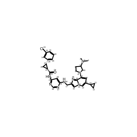 CN(C)C1CCN(c2cc(C3CC3)cn3cc(CNc4cc(NC(=O)[C@H]5C[C@@H]5c5cccc(Cl)c5)ncn4)nc23)C1